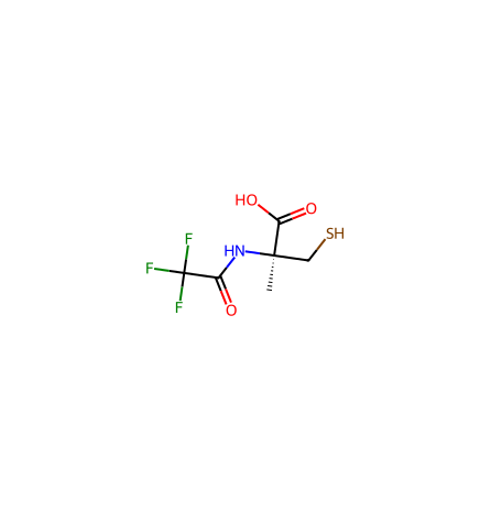 C[C@](CS)(NC(=O)C(F)(F)F)C(=O)O